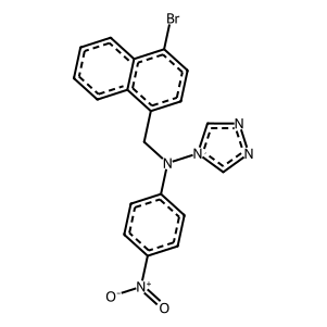 O=[N+]([O-])c1ccc(N(Cc2ccc(Br)c3ccccc23)n2cnnc2)cc1